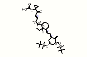 C=C1/C(=C/C=C2\CCC[C@]3(C)[C@@H]([C@H](C)/C=C/C(=O)C4(OC(=O)O)CC4)CC[C@@H]23)C[C@@H](O[Si](C)(C)C(C)(C)C)C[C@@H]1O[Si](C)(C)C(C)(C)C